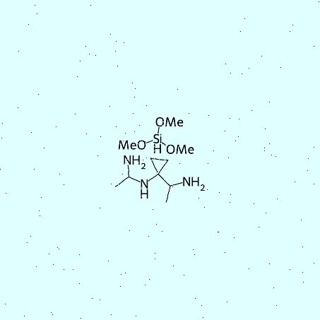 CC(N)NC1(C(C)N)CC1.CO[SiH](OC)OC